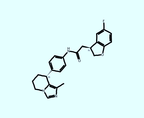 Cc1ncn2c1[C@@H](c1ccc(NC(=O)C[C@@H]3COc4ccc(F)cc43)cc1)CCC2